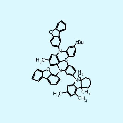 Cc1cc2c3c(c1)N(c1cccc4c1oc1ccccc14)c1cc(N4c5cc(C)cc(C)c5C5(C)CCCCC45C)ccc1B3c1ccc(C(C)(C)C)cc1N2c1ccc2oc3ccccc3c2c1